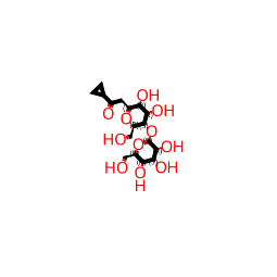 O=C(C[C@@H]1O[C@H](CO)[C@@H](O[C@@H]2O[C@H](CO)[C@H](O)[C@H](O)[C@H]2O)[C@H](O)[C@H]1O)C1CC1